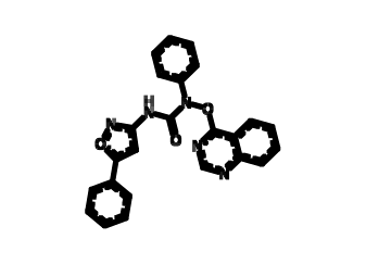 O=C(Nc1cc(-c2ccccc2)on1)N(Oc1ncnc2ccccc12)c1ccccc1